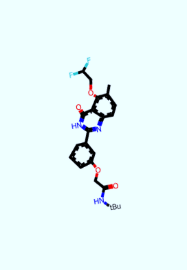 Cc1ccc2nc(-c3cccc(OCC(=O)NC(C)(C)C)c3)[nH]c(=O)c2c1OCC(F)F